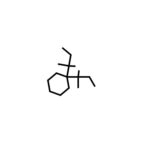 CCC(C)(C)C1(C(C)(C)CC)CCCCC1